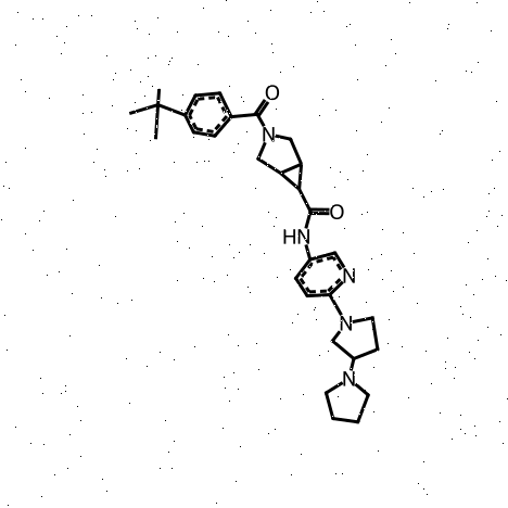 CC(C)(C)c1ccc(C(=O)N2CC3C(C2)C3C(=O)Nc2ccc(N3CCC(N4CCCC4)C3)nc2)cc1